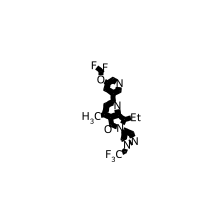 CCC1c2nc(-c3cncc(OC(F)F)c3)cc(C)c2C(=O)N1c1cnn(CC(F)(F)F)c1